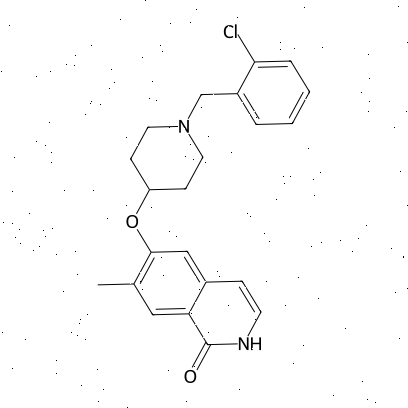 Cc1cc2c(=O)[nH]ccc2cc1OC1CCN(Cc2ccccc2Cl)CC1